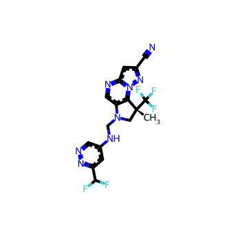 C[C@@]1(C(F)(F)F)CN(CNc2cnnc(C(F)F)c2)c2cnc3cc(C#N)nn3c21